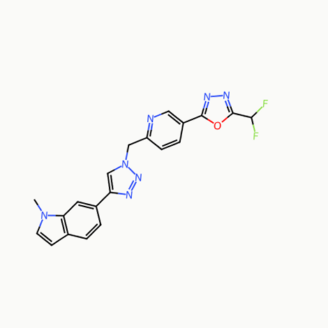 Cn1ccc2ccc(-c3cn(Cc4ccc(-c5nnc(C(F)F)o5)cn4)nn3)cc21